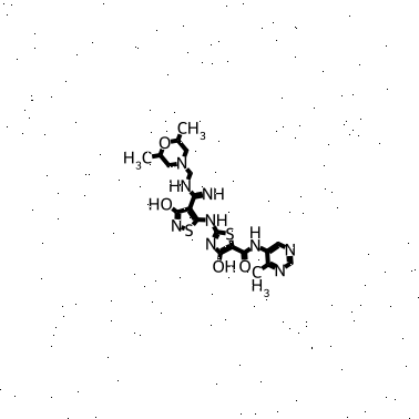 Cc1ncncc1NC(=O)c1sc(Nc2snc(O)c2C(=N)NCN2CC(C)OC(C)C2)nc1O